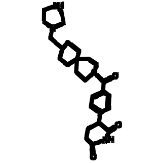 O=C1CCC(c2ccc(C(=O)N3CCC4(CCC(CN5CCNCC5)CC4)CC3)cc2)C(=O)N1